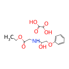 CCOC(=O)CNCC(O)COc1ccccc1.O=C(O)C(=O)O